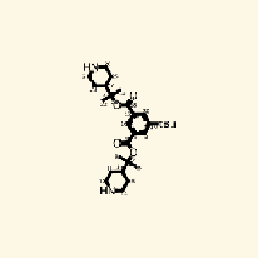 CC(C)(C)c1cc(C(=O)OC(C)(C)C2CCNCC2)cc(C(=O)OC(C)(C)C2CCNCC2)c1